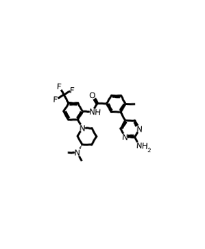 Cc1ccc(C(=O)Nc2cc(C(F)(F)F)ccc2N2CCC[C@H](N(C)C)C2)cc1-c1cnc(N)nc1